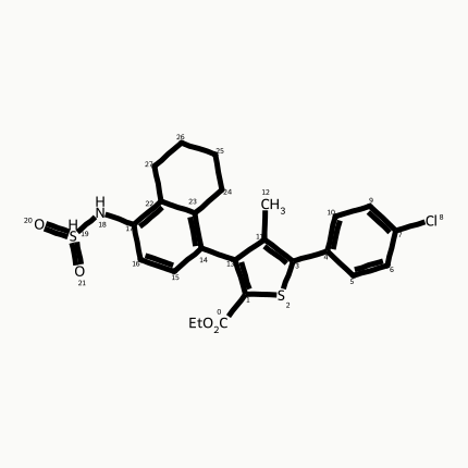 CCOC(=O)c1sc(-c2ccc(Cl)cc2)c(C)c1-c1ccc(N[SH](=O)=O)c2c1CCCC2